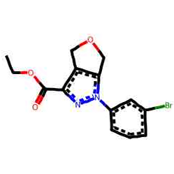 CCOC(=O)c1nn(-c2cccc(Br)c2)c2c1COC2